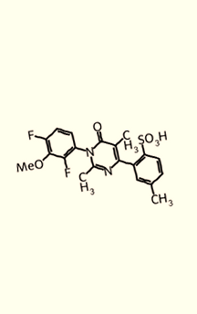 COc1c(F)ccc(-n2c(C)nc(-c3cc(C)ccc3S(=O)(=O)O)c(C)c2=O)c1F